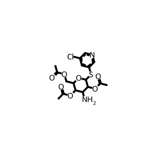 CC(=O)OCC1OC(Sc2cncc(Cl)c2)C(OC(C)=O)C(N)C1OC(C)=O